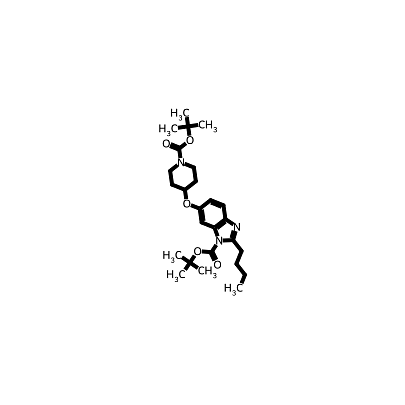 CCCCc1nc2ccc(OC3CCN(C(=O)OC(C)(C)C)CC3)cc2n1C(=O)OC(C)(C)C